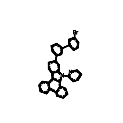 Brc1cccc(-c2cccc(-c3ccc4c5c6ccccc6c6ccccc6c5n(-c5ccccn5)c4c3)c2)c1